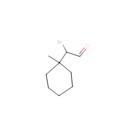 CC1(C(Br)C=O)CCCCC1